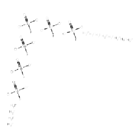 [IH2+].[IH2+].[IH2+].[IH2+].[IH2+].[IH2+].[IH2+].[IH2+].[IH2+].[IH2+].[IH2+].[IH2+].[O]=[Sb]([O-])([O-])[F].[O]=[Sb]([O-])([O-])[F].[O]=[Sb]([O-])([O-])[F].[O]=[Sb]([O-])([O-])[F].[O]=[Sb]([O-])([O-])[F].[O]=[Sb]([O-])([O-])[F]